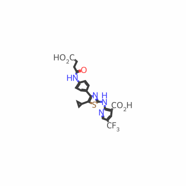 O=C(O)CCC(=O)Nc1ccc(-c2nc(Nc3ncc(C(F)(F)F)cc3C(=O)O)sc2C2CC2)cc1